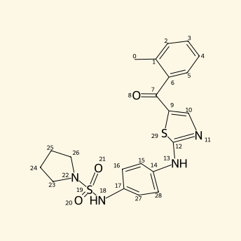 Cc1ccccc1C(=O)c1cnc(Nc2ccc(NS(=O)(=O)N3CCCC3)cc2)s1